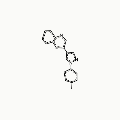 Cc1ccc(-n2cc(-c3cnc4ccccc4n3)cn2)cc1